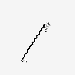 CCCCCCCCCCCCCCCCCCC(CC)[SiH](Cl)Cl